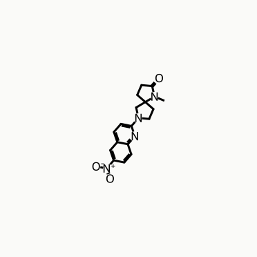 CN1C(=O)CCC12CCN(c1ccc3cc([N+](=O)[O-])ccc3n1)C2